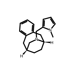 Cn1cccc1CN1C[C@@H]2CC[C@H]1Cc1ccccc1C2